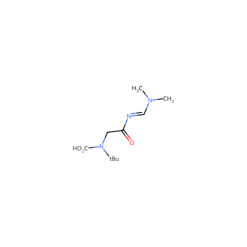 CN(C)/C=N/C(=O)CN(C(=O)O)C(C)(C)C